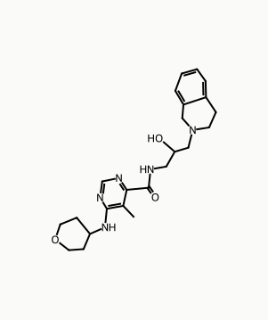 Cc1c(NC2CCOCC2)ncnc1C(=O)NCC(O)CN1CCc2ccccc2C1